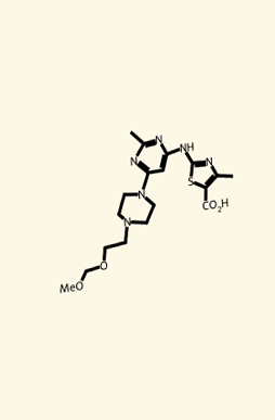 COCOCCN1CCN(c2cc(Nc3nc(C)c(C(=O)O)s3)nc(C)n2)CC1